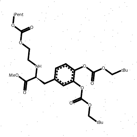 CCCC(C)OC(=O)OCCN[C@@H](Cc1ccc(OC(=O)OCC(C)(C)C)c(OC(=O)OCC(C)(C)C)c1)C(=O)OC